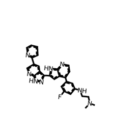 CN(C)CCNc1cc(F)cc(-c2ccnc3[nH]c(-c4n[nH]c5ncc(-c6ccccn6)cc45)cc23)c1